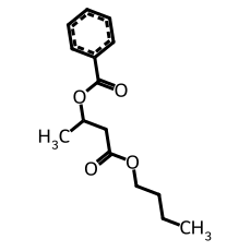 CCCCOC(=O)CC(C)OC(=O)c1ccccc1